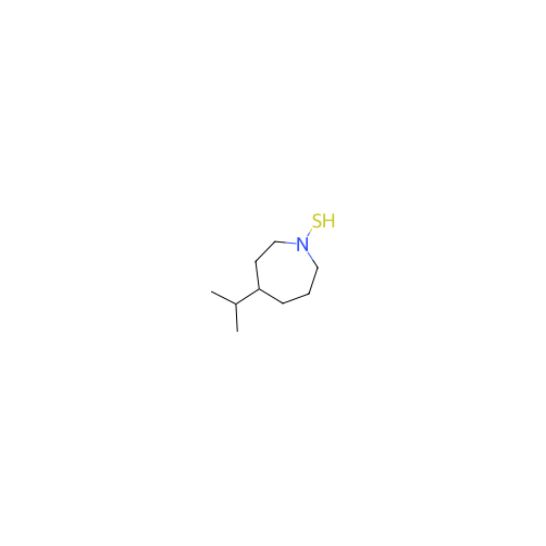 CC(C)C1CCCN(S)CC1